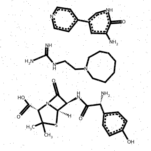 CC1(C)S[C@@H]2[C@H](NC(=O)[C@H](N)c3ccc(O)cc3)C(=O)N2[C@H]1C(=O)O.N=C(N)NCCN1CCCCCCC1.Nc1cc(-c2ccncc2)c[nH]c1=O